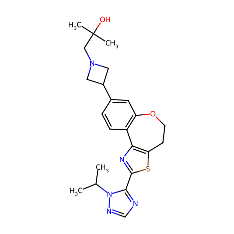 CC(C)n1ncnc1-c1nc2c(s1)CCOc1cc(C3CN(CC(C)(C)O)C3)ccc1-2